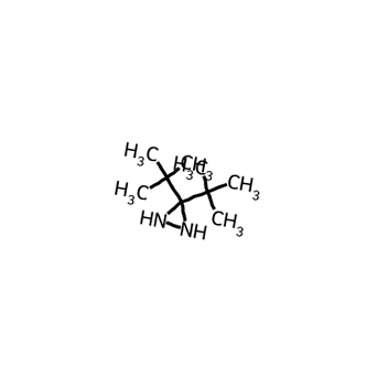 CC(C)(C)C1(C(C)(C)C)NN1